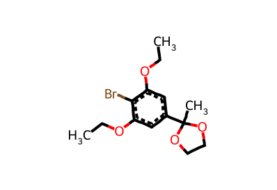 CCOc1cc(C2(C)OCCO2)cc(OCC)c1Br